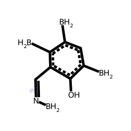 B/N=C\c1c(B)c(B)cc(B)c1O